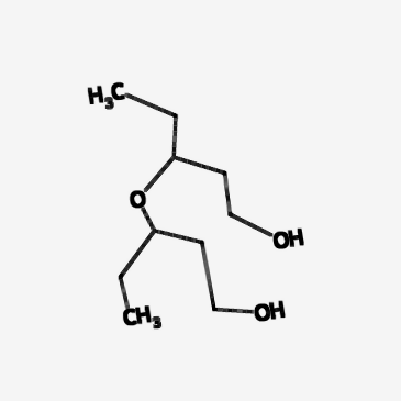 CCC(CCO)OC(CC)CCO